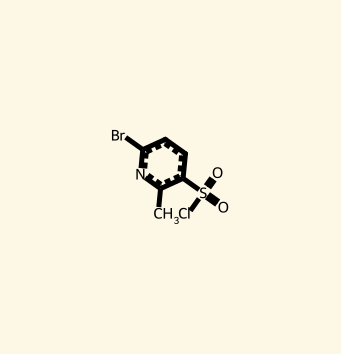 Cc1nc(Br)ccc1S(=O)(=O)Cl